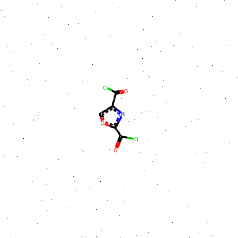 O=C(Cl)c1coc(C(=O)Cl)n1